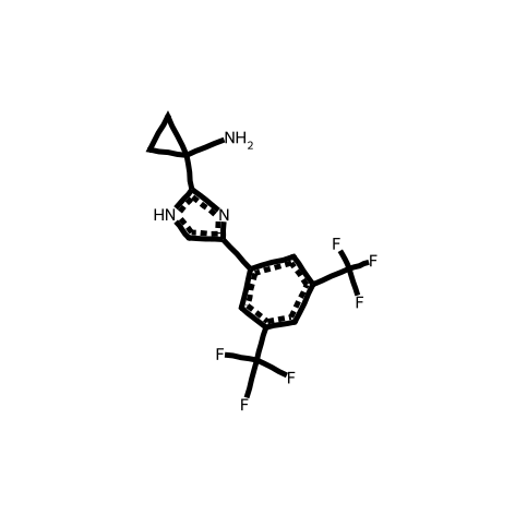 NC1(c2nc(-c3cc(C(F)(F)F)cc(C(F)(F)F)c3)c[nH]2)CC1